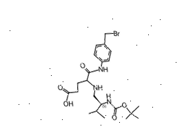 CC(C)[C@@H](CNC(CCC(=O)O)C(=O)Nc1ccc(CBr)cc1)NC(=O)OC(C)(C)C